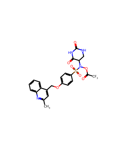 Cc1cc(COc2ccc(S(=O)(=O)N(OC(=O)C(F)(F)F)C3CNC(=O)NC3=O)cc2)c2ccccc2n1